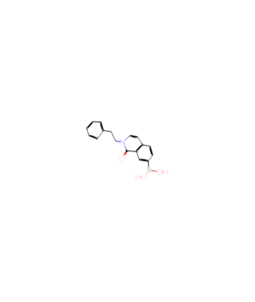 O=c1c2cc(B(O)O)ccc2ccn1CCc1ccccc1